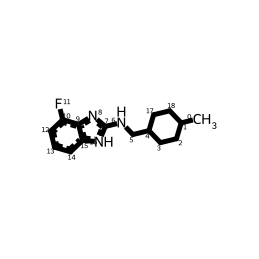 CC1CCC(CNc2nc3c(F)cccc3[nH]2)CC1